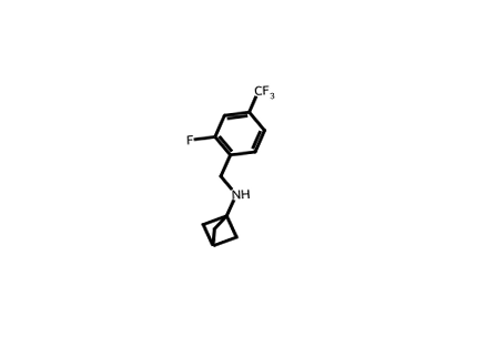 Fc1cc(C(F)(F)F)ccc1CNC12CC(C1)C2